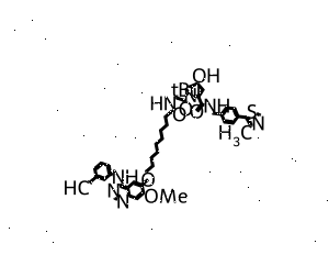 C#Cc1cccc(Nc2ncnc3cc(OC)c(OCCCCCCCCCC(=O)NC(C(=O)N4CC(O)CC4C(=O)NCc4ccc(-c5scnc5C)cc4)C(C)(C)C)cc23)c1